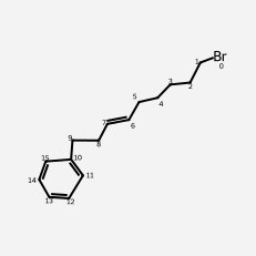 BrCCCCCC=CCCc1ccccc1